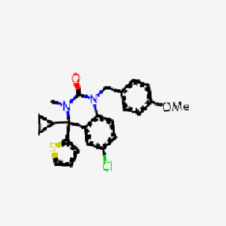 COc1ccc(CN2C(=O)N(C)C(c3cccs3)(C3CC3)c3cc(Cl)ccc32)cc1